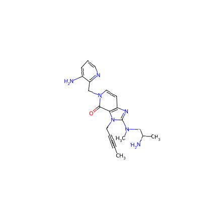 CC#CCn1c(N(C)CC(C)N)nc2ccn(Cc3ncccc3N)c(=O)c21